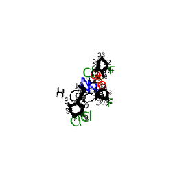 CC(C)(c1ccc(Cl)c(Cl)c1)c1cnc(S(=O)(=O)Cc2c(F)cccc2Cl)n1-c1ccc(F)cc1